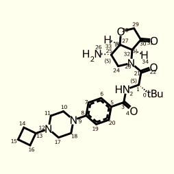 CC(C)(C)[C@H](NC(=O)c1ccc(N2CCN(C3CCC3)CC2)cc1)C(=O)N1C[C@H](N)[C@H]2OCC(=O)[C@H]21